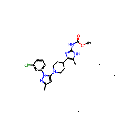 Cc1cc(N2CCC(c3nc(NC(=O)OC(C)C)[nH]c3C)CC2)n(-c2cccc(Cl)c2)n1